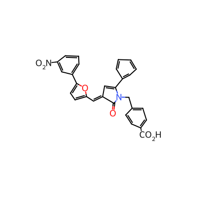 O=C(O)c1ccc(CN2C(=O)C(=Cc3ccc(-c4cccc([N+](=O)[O-])c4)o3)C=C2c2ccccc2)cc1